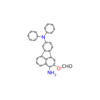 Nc1c(OC=O)cc2c3c(cccc13)-c1cc(N(c3ccccc3)c3ccccc3)ccc1-2